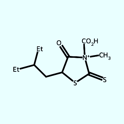 CCC(CC)CC1SC(=S)[N+](C)(C(=O)O)C1=O